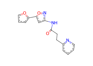 O=C(CCc1ccccn1)Nc1cc(-c2ccco2)on1